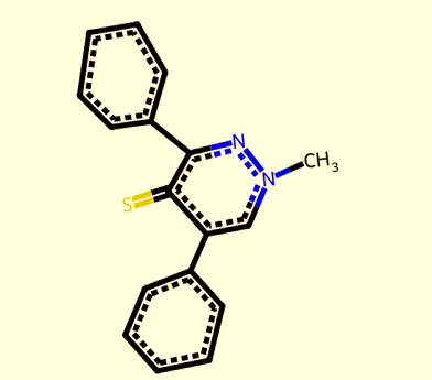 Cn1cc(-c2ccccc2)c(=S)c(-c2ccccc2)n1